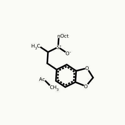 CC(C)=O.CCCCCCCC[S+]([O-])C(C)Cc1ccc2c(c1)OCO2